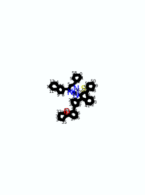 c1ccc(-c2cc(-c3ccc4ccccc4c3)nc(-n3c4ccc(-c5cccc6c5oc5ccccc56)cc4c4c5ccccc5c5c6ccccc6sc5c43)n2)cc1